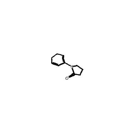 O=C1CCCN1C1=C[CH]CC=C1